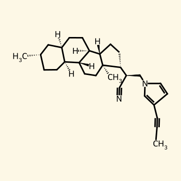 CC#Cc1ccn(C[C@@H](C#N)[C@H]2CC[C@H]3[C@@H]4CC[C@@H]5C[C@@H](C)CC[C@@H]5[C@H]4CC[C@]23C)c1